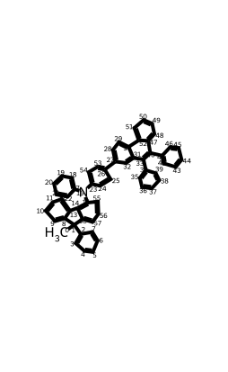 CC1(c2ccccc2)c2ccccc2-c2c(N(c3ccccc3)c3ccc(-c4ccc5c(c4)c(-c4ccccc4)c(-c4ccccc4)c4ccccc45)cc3)cccc21